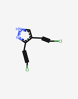 ClC#Cc1c[nH]nc1C#CCl